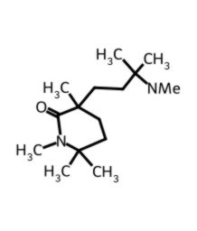 CNC(C)(C)CCC1(C)CCC(C)(C)N(C)C1=O